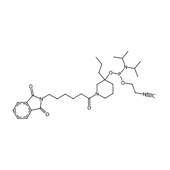 [C-]#[N+]CCOP(OC1(CCC)CCCN(C(=O)CCCCCN2C(=O)c3ccccc3C2=O)C1)N(C(C)C)C(C)C